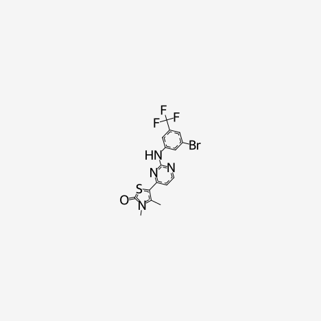 Cc1c(-c2ccnc(Nc3cc(Br)cc(C(F)(F)F)c3)n2)sc(=O)n1C